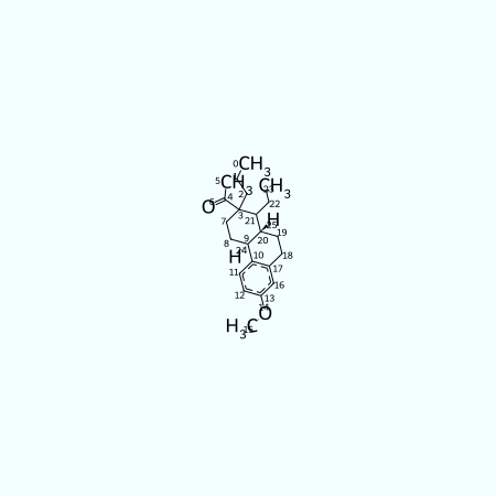 CCCC1(C(C)=O)CC[C@@H]2c3ccc(OC)cc3CC[C@H]2C1CC